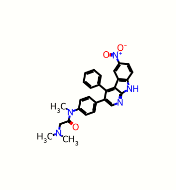 CN(C)CC(=O)N(C)c1ccc(-c2cnc3[nH]c4ccc([N+](=O)[O-])cc4c3c2-c2ccccc2)cc1